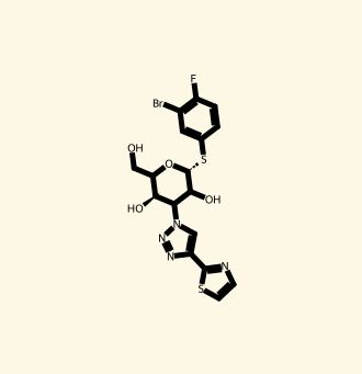 OCC1O[C@H](Sc2ccc(F)c(Br)c2)C(O)C(n2cc(-c3nccs3)nn2)[C@H]1O